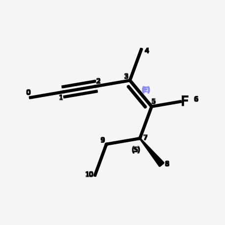 CC#C/C(C)=C(/F)[C@@H](C)CC